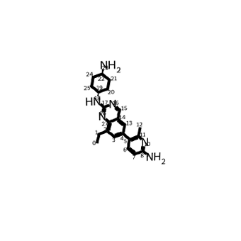 CCc1cc(-c2ccc(N)nc2C)cc2cnc(N[C@H]3CC[C@H](N)CC3)nc12